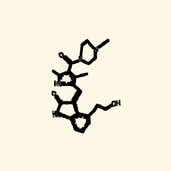 Cc1[nH]c(C=C2C(=O)Nc3cccc(CCO)c32)c(C)c1C(=O)N1CCN(C)CC1